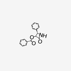 O=C(O[C@@H]1C(=O)N[C@@H]1c1ccccc1)c1ccccc1